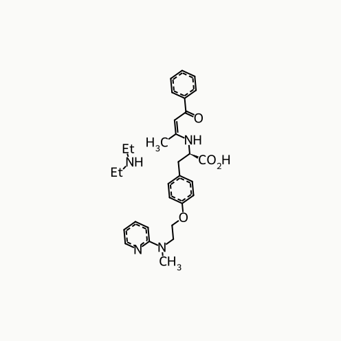 CC(=CC(=O)c1ccccc1)N[C@H](Cc1ccc(OCCN(C)c2ccccn2)cc1)C(=O)O.CCNCC